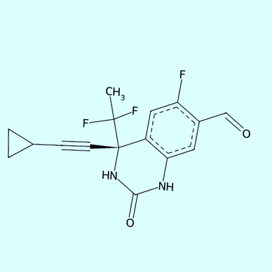 CC(F)(F)[C@@]1(C#CC2CC2)NC(=O)Nc2cc(C=O)c(F)cc21